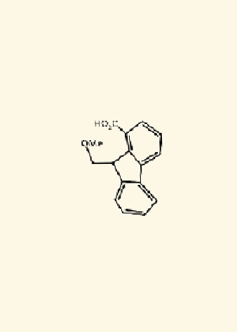 COCC1c2ccccc2-c2cccc(C(=O)O)c21